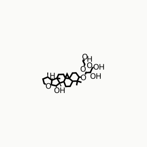 C[C@@H]1CCOC2[C@H]1C1(C)CCC34CC35CCC(OC(OCC=O)[C@H](O)C(O)O)C(C)(C)C5CCC4[C@]1(C)[C@H]2O